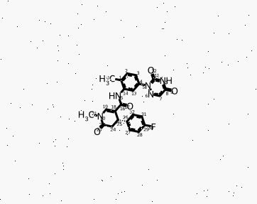 Cc1ccc(-n2ncc(=O)[nH]c2=O)cc1NC(=O)C1=CN(C)C(=O)C[C@H]1c1ccc(F)cc1